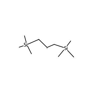 C[Si](C)(C)C[CH]C[Si](C)(C)C